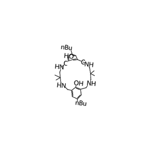 CCCCc1cc2c(O)c(c1)CNCC(C)(C)CNCc1cc(CCCC)cc(c1O)CNCC(C)(C)CNC2